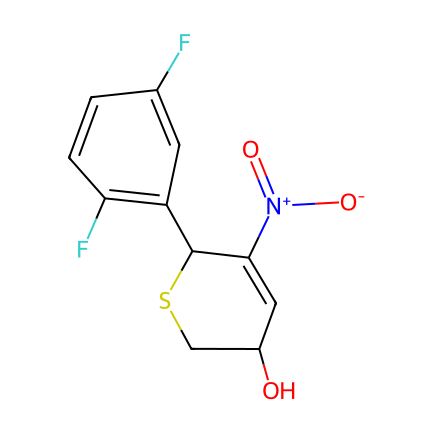 O=[N+]([O-])C1=CC(O)CSC1c1cc(F)ccc1F